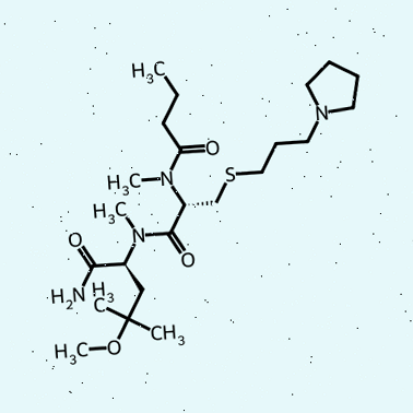 CCCC(=O)N(C)[C@H](CSCCCN1CCCC1)C(=O)N(C)[C@@H](CC(C)(C)OC)C(N)=O